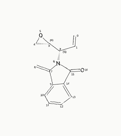 C=C[C@@H]([C@@H]1CO1)N1C(=C)c2ccccc2C1=O